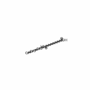 O=[C]CCOCCOCCOCCOCCNC(=O)CCCCCCCCCCCCCCC(=O)O